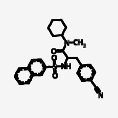 CN(C(=O)C(Cc1ccc(C#N)cc1)NS(=O)(=O)c1ccc2ccccc2c1)C1CCCCC1